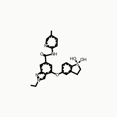 CCn1cc2c(Oc3ccc4c(c3)CCS4(O)O)cc(C(=O)Nc3ccc(C)cn3)cc2n1